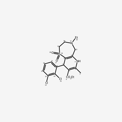 CCOC(=O)C1=C(C)NC2=C(C1c1cccc(Cl)c1Cl)S(=O)(=O)CCN(CC)C2